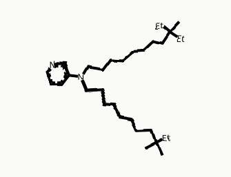 CCC(C)(C)CCCCCCCCN(CCCCCCCCC(C)(CC)CC)c1cccnc1